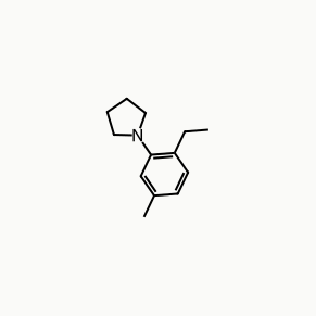 CCc1ccc(C)cc1N1CCCC1